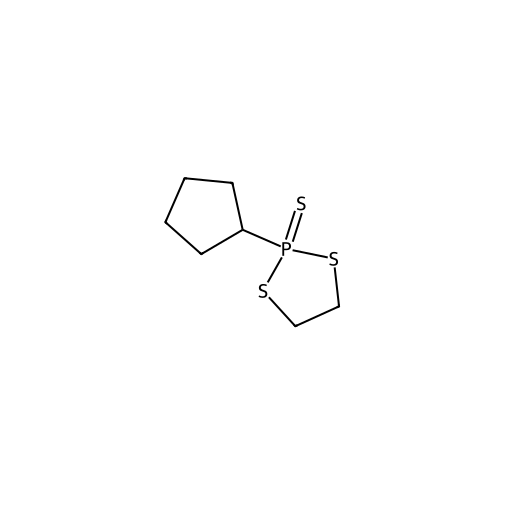 S=P1(C2CCCC2)SCCS1